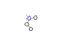 Ic1nc(-c2ccccc2)cc(-c2cccc(-c3ccccc3)c2)n1